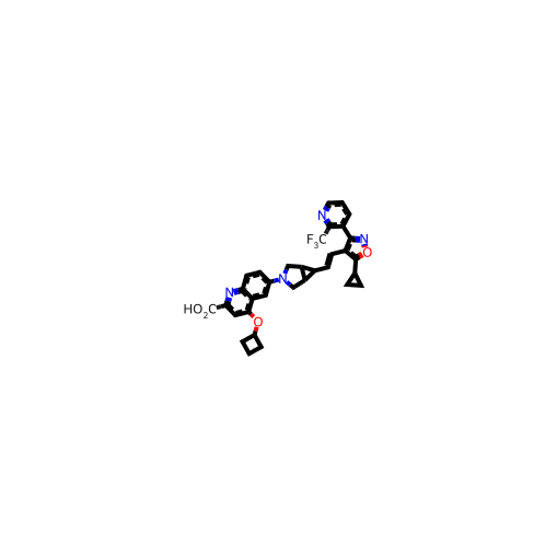 O=C(O)c1cc(OC2CCC2)c2cc(N3CC4C(/C=C/c5c(-c6cccnc6C(F)(F)F)noc5C5CC5)C4C3)ccc2n1